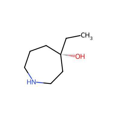 CC[C@]1(O)CCCNCC1